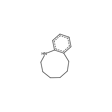 c1ccc2c(c1)CCCCCCN2